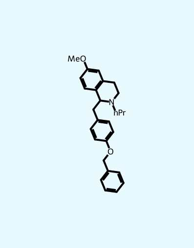 CCCN1CCc2cc(OC)ccc2C1Cc1ccc(OCc2ccccc2)cc1